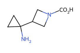 NC1(C2CN(C(=O)O)C2)CC1